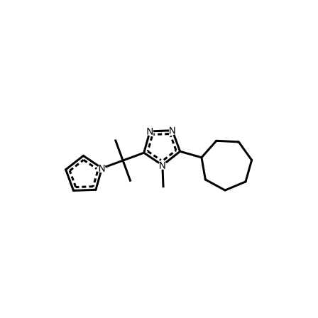 Cn1c(C2CCCCCC2)nnc1C(C)(C)n1cccc1